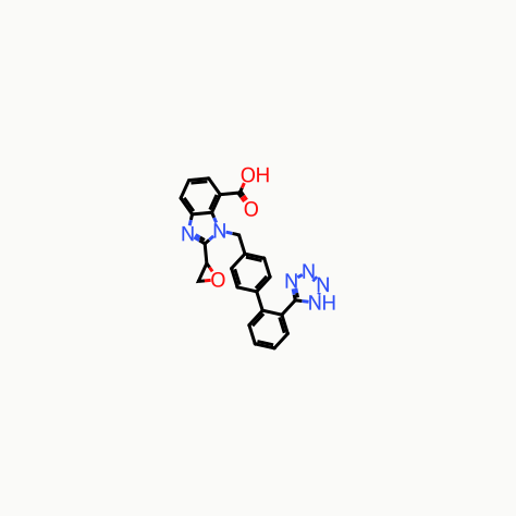 O=C(O)c1cccc2nc(C3CO3)n(Cc3ccc(-c4ccccc4-c4nnn[nH]4)cc3)c12